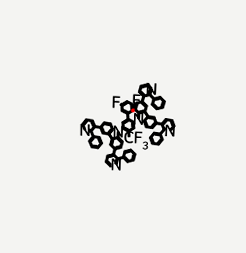 Fc1cc(F)cc(-c2cc(-n3c4ccc(-c5cccnc5-c5ccccc5)cc4c4cc(-c5cccnc5-c5ccccc5)ccc43)c(C(F)(F)F)cc2-n2c3ccc(-c4cccnc4-c4ccccc4)cc3c3cc(-c4cccnc4-c4ccccc4)ccc32)c1